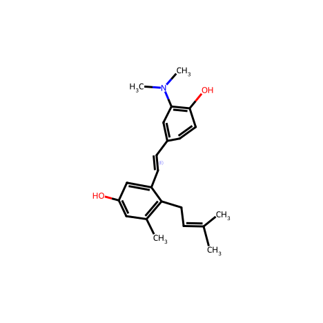 CC(C)=CCc1c(C)cc(O)cc1/C=C/c1ccc(O)c(N(C)C)c1